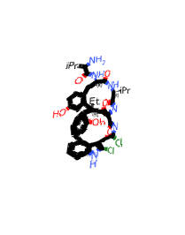 CC[C@@]12c3ccc(cc3O)-c3cccc4[nH]c(Cl)c(c34)-c3oc(nc3Cl)-c3nc(oc31)[C@@H](C(C)C)NC(=O)[C@H](NC(=O)C(N)C(C)C)Cc1ccc(O)cc12